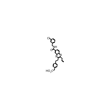 C=CCc1nc2ccc(C(=O)NCc3cccc(Cl)c3)cc2nc1CCc1ccc(CC(=O)O)cc1